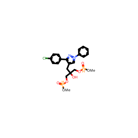 CO[PH](=O)OCC(O)(CO[PH](=O)OC)Cc1cn(-c2ccccc2)nc1-c1ccc(Cl)cc1